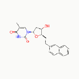 Cc1cn([C@H]2CC(O)[C@@H](CCc3ccc4ccccc4c3)O2)c(=O)[nH]c1=O